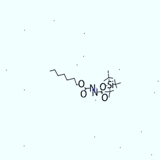 CCCCCCCOC(=O)/N=N/C(=O)O[Si](C(C)(C)C)(C(C)(C)C)C(C)(C)C